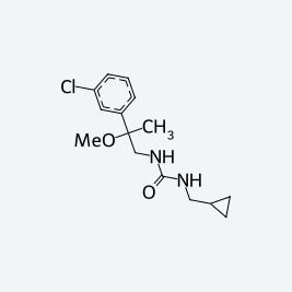 COC(C)(CNC(=O)NCC1CC1)c1cccc(Cl)c1